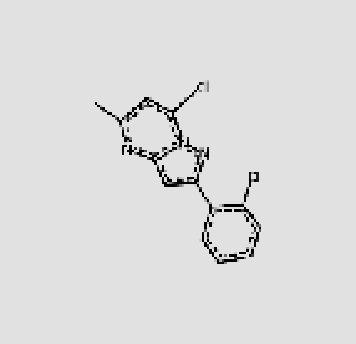 Cc1cc(Cl)n2nc(-c3ccccc3Cl)cc2n1